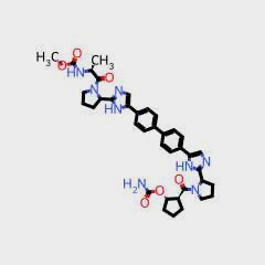 COC(=O)N[C@@H](C)C(=O)N1CCCC1c1ncc(-c2ccc(-c3ccc(-c4cnc(C5CCCN5C(=O)[C@H]5CCC[C@@H]5OC(N)=O)[nH]4)cc3)cc2)[nH]1